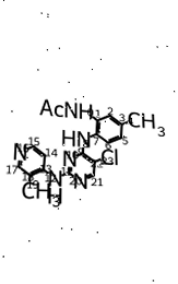 CC(=O)Nc1cc(C)ccc1Nc1nc(Nc2ccncc2C)ncc1Cl